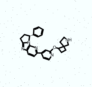 c1ccc([C@H]2CCc3nc4ccc(-c5ccnc(OC6CCC67CCNC7)c5)nc4n32)cc1